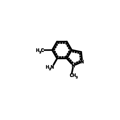 Cc1ccc2cnn(C)c2c1N